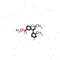 COC(=O)c1ccc2c(c1)C(c1ccc(F)cc1C)=CC(C)O2